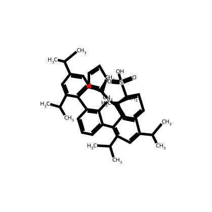 CC(C)c1cc(C(C)C)c(-c2cccc(-c3c(C(C)C)cc(C(C)C)cc3C(C)C)c2P(c2cccs2)c2ccccc2S(=O)(=O)O)c(C(C)C)c1